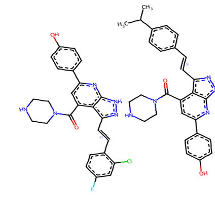 CC(C)c1ccc(/C=C/c2n[nH]c3nc(-c4ccc(O)cc4)cc(C(=O)N4CCNCC4)c23)cc1.O=C(c1cc(-c2ccc(O)cc2)nc2[nH]nc(/C=C/c3ccc(F)cc3Cl)c12)N1CCNCC1